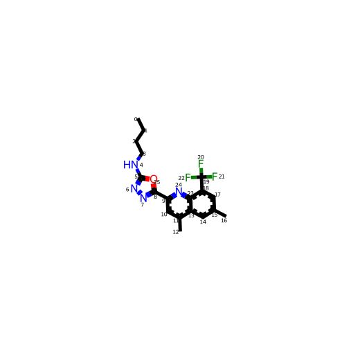 CCCCNc1nnc(-c2cc(C)c3cc(C)cc(C(F)(F)F)c3n2)o1